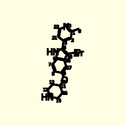 Cc1cc(-c2[nH]c3ccc(OC4CCNCC4)cc3c2C(C)C)ccn1